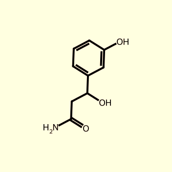 NC(=O)CC(O)c1cccc(O)c1